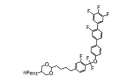 CCCCCC1COC(CCCCc2ccc(C(F)(F)Oc3ccc(-c4ccc(-c5cc(F)c(F)c(F)c5)c(F)c4)cc3)c(F)c2)OC1